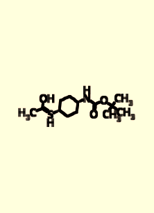 CC(O)=[SH][C@H]1CC[C@@H](NC(=O)OC(C)(C)C)CC1